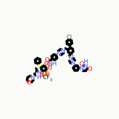 C[C@@]1(CN2CCN(c3cccc(N4CCC(=O)NC4=O)c3)CC2)CCC(c2ccc(Cl)cc2)=C(CN2CCN(c3ccc(C(=O)NS(=O)(=O)c4ccc(N[C@H](CCN5CCCOCC5)CSc5ccccc5)c(S(=O)(=O)C(F)(F)F)c4)cc3)CC2)C1